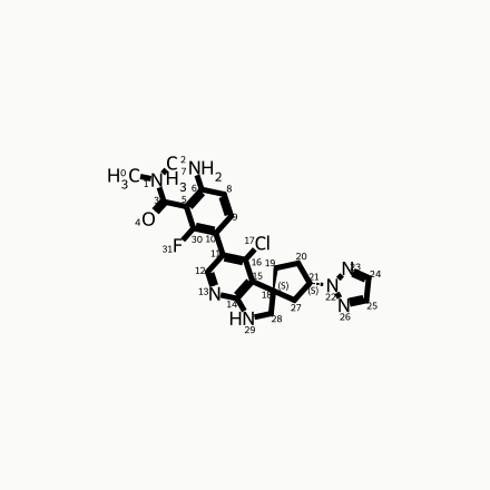 CN(C)C(=O)c1c(N)ccc(-c2cnc3c(c2Cl)[C@@]2(CC[C@H](n4nccn4)C2)CN3)c1F